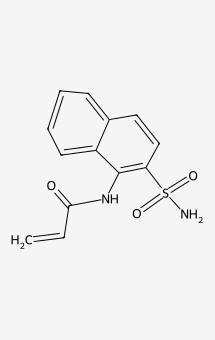 C=CC(=O)Nc1c(S(N)(=O)=O)ccc2ccccc12